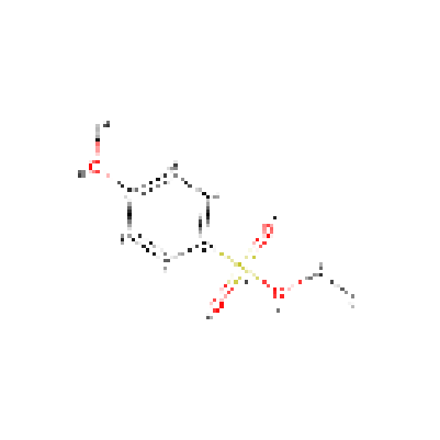 [CH2]COS(=O)(=O)c1ccc(OC)cc1